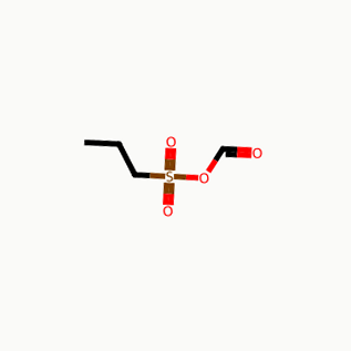 CCCS(=O)(=O)OC=O